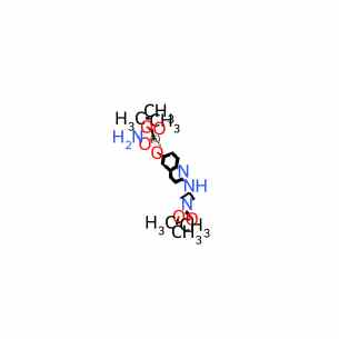 CC(C)(C)OC(=O)[C@H](COc1ccc2nc(NC3CN(C(=O)OC(C)(C)C)C3)ccc2c1)ON